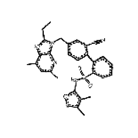 CCc1nc2c(C)cc(C)nc2n1Cc1ccc(-c2ccccc2S(=O)(=O)Nc2onc(C)c2C)c(C#N)c1